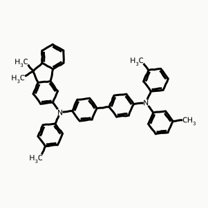 Cc1ccc(N(c2ccc(-c3ccc(N(c4cccc(C)c4)c4cccc(C)c4)cc3)cc2)c2ccc3c(c2)-c2ccccc2C3(C)C)cc1